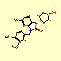 COc1ccc(Cn2c(=O)n([C@H]3CC[C@H](O)CC3)c3ccc(C(F)(F)F)cc32)cc1OC